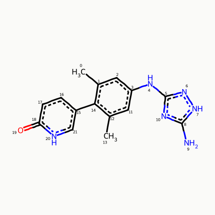 Cc1cc(Nc2n[nH]c(N)n2)cc(C)c1-c1ccc(=O)[nH]c1